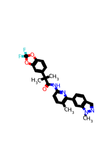 Cc1ccc(NC(=O)C(C)(C)c2ccc3c(c2)OC(F)(F)O3)nc1-c1ccc2cnn(C)c2c1